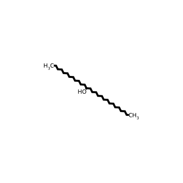 CCCCCCCCCCCCCCCC(O)CCCCCCCCCCCC